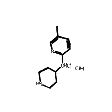 Cc1ccc(OC2CCNCC2)nc1.Cl.Cl